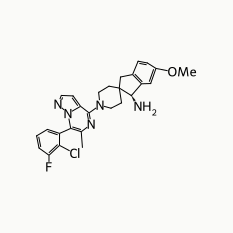 COc1ccc2c(c1)[C@@H](N)C1(CCN(c3nc(C)c(-c4cccc(F)c4Cl)n4nccc34)CC1)C2